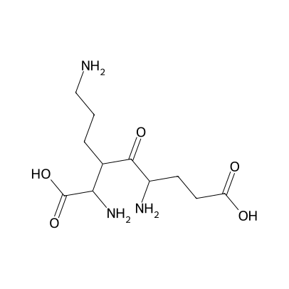 NCCCC(C(=O)C(N)CCC(=O)O)C(N)C(=O)O